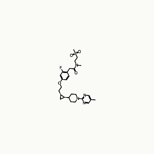 Cc1cnc(N2CCC([C@H]3C[C@H]3CCOc3ccc(CC(=O)N(C)CCS(C)(=O)=O)c(F)c3)CC2)nc1